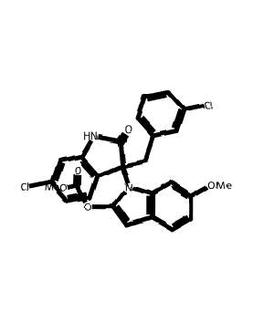 COC(=O)Oc1cc2ccc(OC)cc2n1C1(Cc2cccc(Cl)c2)C(=O)Nc2cc(Cl)ccc21